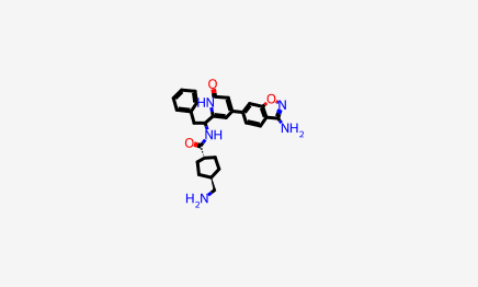 NC[C@H]1CC[C@H](C(=O)NC(Cc2ccccc2)c2cc(-c3ccc4c(N)noc4c3)cc(=O)[nH]2)CC1